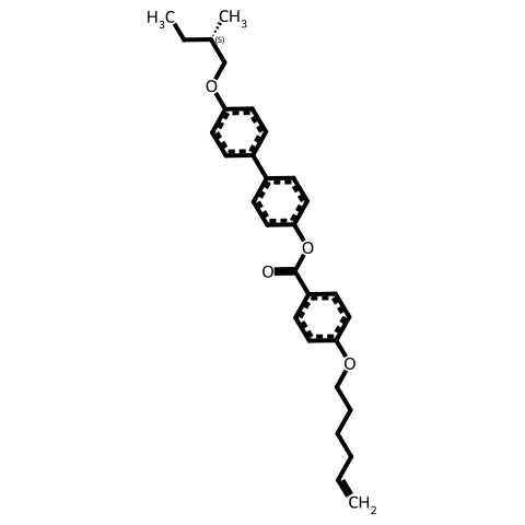 C=CCCCCOc1ccc(C(=O)Oc2ccc(-c3ccc(OC[C@@H](C)CC)cc3)cc2)cc1